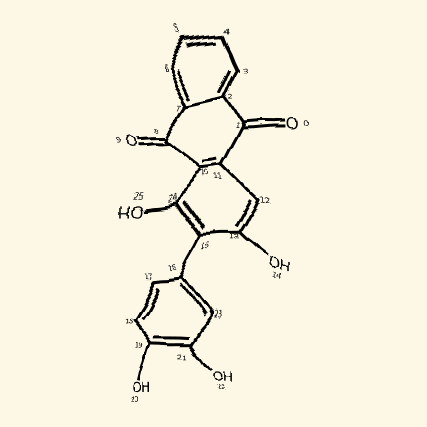 O=C1c2ccccc2C(=O)c2c1cc(O)c(-c1ccc(O)c(O)c1)c2O